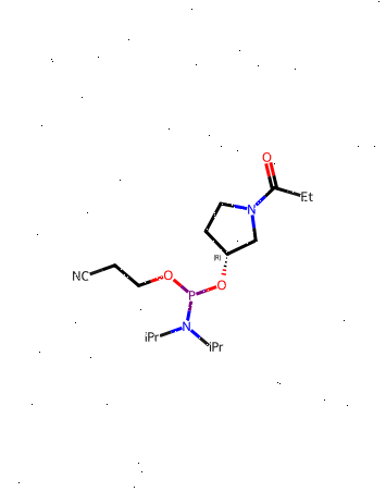 CCC(=O)N1CC[C@@H](OP(OCCC#N)N(C(C)C)C(C)C)C1